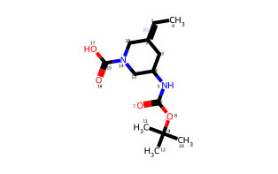 C/C=C1\CC(NC(=O)OC(C)(C)C)CN(C(=O)O)C1